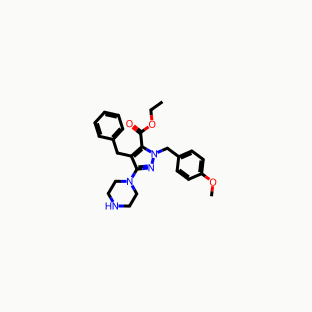 CCOC(=O)c1c(Cc2ccccc2)c(N2CCNCC2)nn1Cc1ccc(OC)cc1